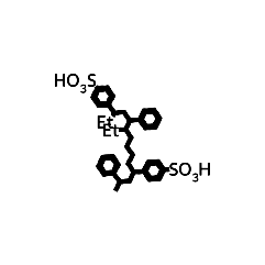 CCC(CC(c1ccccc1)C(CC)CCCCC(CC(C)c1ccccc1)c1ccc(S(=O)(=O)O)cc1)c1ccc(S(=O)(=O)O)cc1